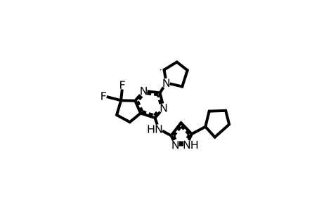 FC1(F)CCc2c(Nc3cc(C4CCCC4)[nH]n3)nc(N3[CH]CCC3)nc21